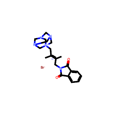 C/C(CN1C(=O)c2ccccc2C1=O)=C(/C)C[N+]12CN3CN(CN(C3)C1)C2.[Br-]